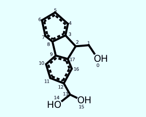 OCC1c2ccccc2-c2ccc(C(O)O)cc21